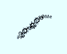 COOSN1CCN(c2ccc(OCC3CCN(C(=O)OC(C)C)CC3)nn2)CC1